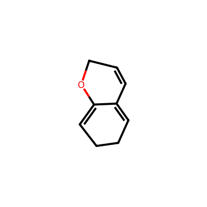 C1=CC2=CCCC=C2OC1